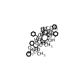 CC1=C2[C@@H](O)C(=O)[C@]3(C)[C@@H](OC(c4ccccc4)(c4ccccc4)C(C)(C)C)C[C@H]4OC[C@@]4(C)[C@H]3[C@H](OC(=O)c3ccccc3)[C@](O)(C[C@@H]1OC(=O)[C@H](OC(C)C)[C@@H](NC(=O)c1ccccc1)c1ccccc1)C2(C)C